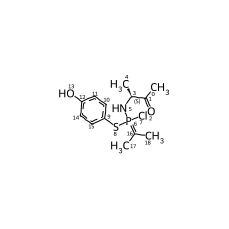 CC(=O)[C@H](C)NP(Cl)(Sc1ccc(O)cc1)=C(C)C